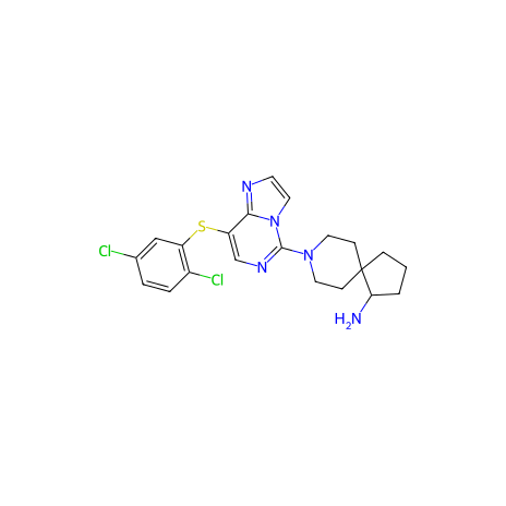 NC1CCCC12CCN(c1ncc(Sc3cc(Cl)ccc3Cl)c3nccn13)CC2